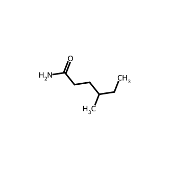 CCC(C)CCC(N)=O